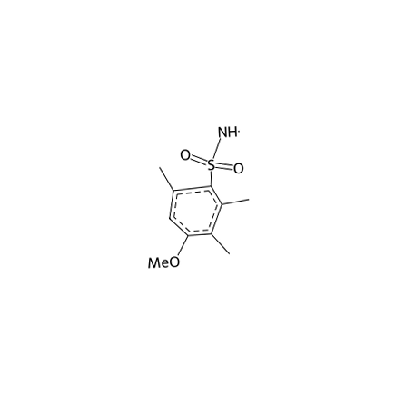 COc1cc(C)c(S([NH])(=O)=O)c(C)c1C